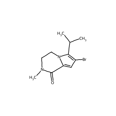 CC(C)c1c(Br)cc2n1CCN(C)C2=O